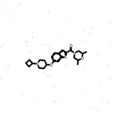 CC1CN(C(=O)c2cc3ccc(OC4CCN(C5CCC5)CC4)cc3s2)CC(C)O1